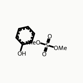 COS(=O)(=O)OC.Oc1ccccc1